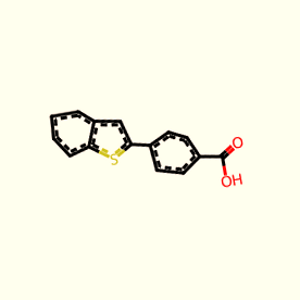 O=C(O)c1ccc(-c2cc3ccccc3s2)cc1